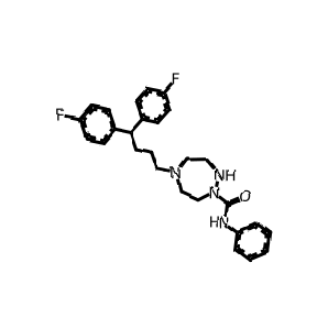 O=C(Nc1ccccc1)N1CCN(CCCC(c2ccc(F)cc2)c2ccc(F)cc2)CCN1